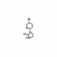 O=c1[nH]ccn1-c1ccc(Br)cn1